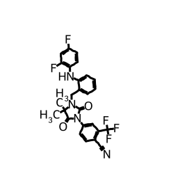 CC1(C)C(=O)N(c2ccc(C#N)c(C(F)(F)F)c2)C(=O)N1Cc1ccccc1Nc1ccc(F)cc1F